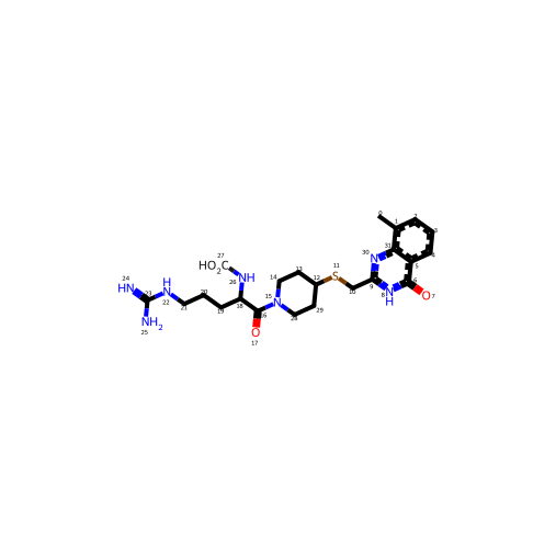 Cc1cccc2c(=O)[nH]c(CSC3CCN(C(=O)C(CCCNC(=N)N)NC(=O)O)CC3)nc12